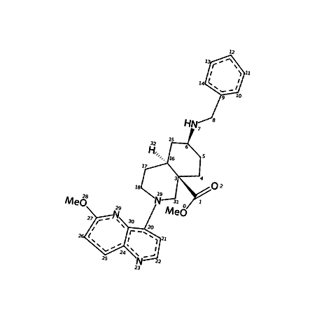 COC(=O)[C@]12CC[C@H](NCc3ccccc3)C[C@@H]1CCN(c1ccnc3ccc(OC)nc13)C2